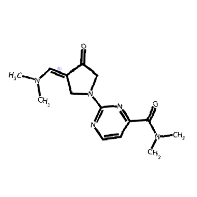 CN(C)/C=C1\CN(c2nccc(C(=O)N(C)C)n2)CC1=O